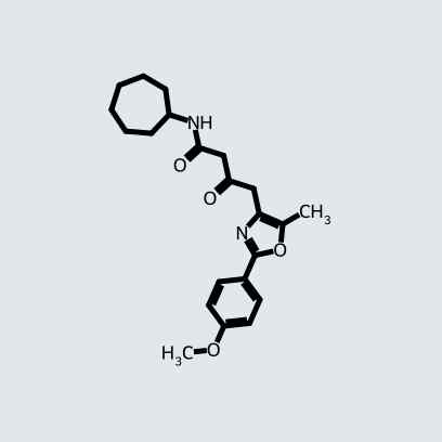 COc1ccc(-c2nc(CC(=O)CC(=O)NC3CCCCCC3)c(C)o2)cc1